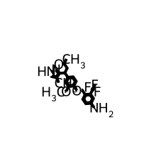 COc1cc(C(CC(C)=O)c2n[nH]cc2C)ccc1OCc1ccc(N)cc1C(F)(F)F